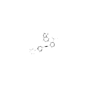 O=C(O)c1cccc(C#Cc2ccc(C3CNCCO3)cc2)c1-c1ccc2cc[nH]c2c1